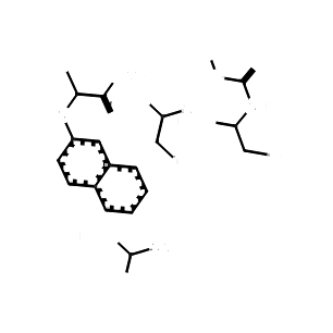 CC(C)CC(N)C(=O)O.CC(C)CC(NC(=O)OC(C)(C)C)C(=O)O.CNC(C(=O)O)C(C)C.COC(=O)C(C)Nc1ccc2ccccc2c1